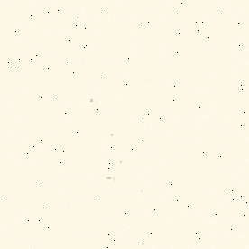 CC(C)(C)OC(=O)C(C)(C)S(=O)(=O)C1(CBr)CC1